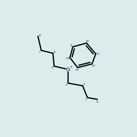 CCCCOCCCC.c1ccccc1